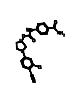 N#Cc1ccc(N2CC[C@@H](OC(=O)Nc3ccc(C(N)=O)cc3)C2)cc1Cl